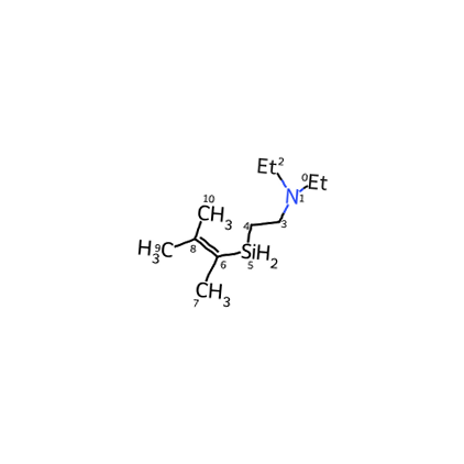 CCN(CC)CC[SiH2]C(C)=C(C)C